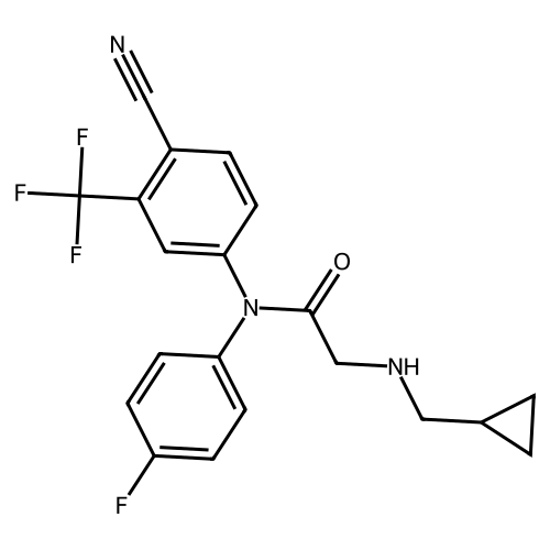 N#Cc1ccc(N(C(=O)CNCC2CC2)c2ccc(F)cc2)cc1C(F)(F)F